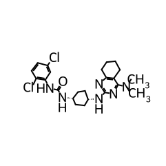 CN(C)c1nc(N[C@H]2CC[C@@H](NC(=O)Nc3cc(Cl)ccc3Cl)CC2)nc2c1CCCC2